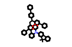 CC1(C)c2ccccc2-c2ccc(N(c3ccccc3)c3ccccc3-c3ccc(CC(c4ccc(-c5ccccc5)cc4)c4ccc(-c5ccccc5)cc4)cc3-c3ccccc3)cc21